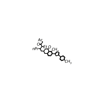 CCCC(CC1CC(=O)c2c(ccc(C3=CC=C(c4ccc(C)cc4)C3)c2C)C1)C(CC)C(=O)CC(C)=O